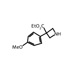 CCOC(=O)C1(c2ccc(OC)cc2)CNC1